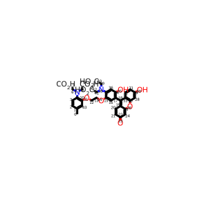 Cc1ccc(N(CC(=O)O)CC(=O)O)c(OCCOc2cc(-c3c4ccc(=O)cc-4oc4cc(O)ccc34)c(O)cc2N(CC(=O)O)CC(=O)O)c1